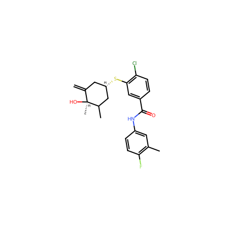 C=C1C[C@H](Sc2cc(C(=O)Nc3ccc(F)c(C)c3)ccc2Cl)CC(C)[C@@]1(C)O